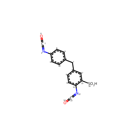 O=C=Nc1ccc(Cc2ccc(N=C=O)c(S(=O)(=O)O)c2)cc1